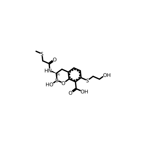 CSCC(=O)N[C@H]1Cc2ccc(SCCO)c(C(=O)O)c2OB1O